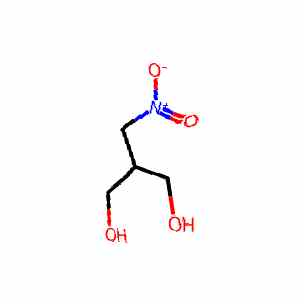 O=[N+]([O-])CC(CO)CO